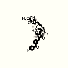 CC(C)C(=O)N1CCN(CCCN2C=NC(C)(/C=c3\[nH]c(=O)/c(=C/c4cccc(C(=O)c5ccc(F)cc5)c4)[nH]c3=O)C2C(C)C)CC1